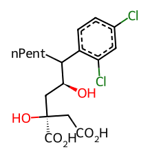 CCCCCC(c1ccc(Cl)cc1Cl)[C@@H](O)C[C@](O)(CC(=O)O)C(=O)O